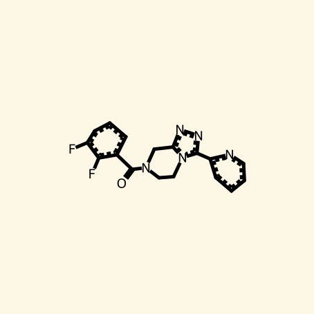 O=C(c1cccc(F)c1F)N1CCn2c(nnc2-c2ccccn2)C1